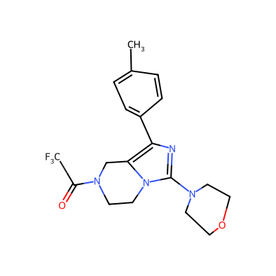 Cc1ccc(-c2nc(N3CCOCC3)n3c2CN(C(=O)C(F)(F)F)CC3)cc1